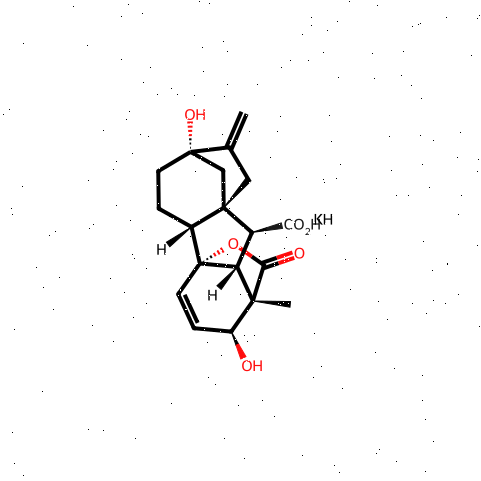 C=C1C[C@]23C[C@@]1(O)CC[C@H]2[C@@]12C=C[C@H](O)[C@@](C)(C(=O)O1)[C@H]2[C@@H]3C(=O)O.[KH]